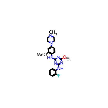 CCOc1nc(Nc2ccccc2F)nc(Nc2ccc(N3CCN(C)CC3)cc2OC)n1